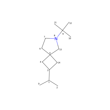 CC(C)C1CC2(CCN(C(C)(C)C)C2)C1